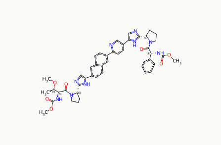 COC(=O)N[C@H](C(=O)N1CCC[C@H]1c1ncc(-c2ccc3cc(-c4ccc(-c5cnc([C@@H]6CCCN6C(=O)[C@H](NC(=O)OC)c6ccccc6)[nH]5)cn4)ccc3c2)[nH]1)[C@@H](C)OC